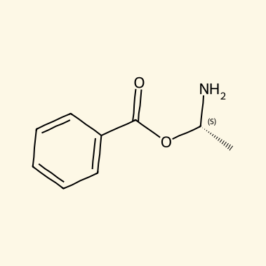 C[C@@H](N)OC(=O)c1ccccc1